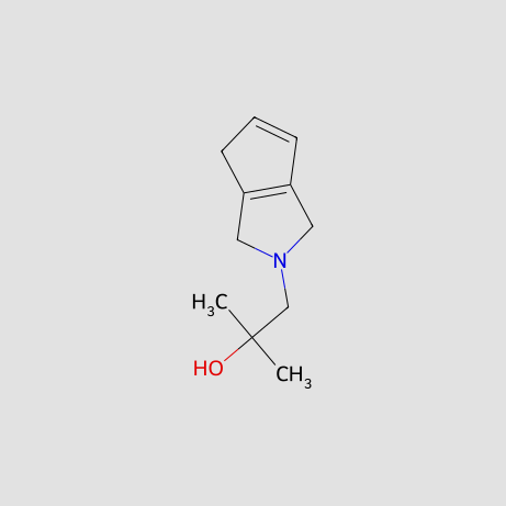 CC(C)(O)CN1CC2=C(CC=C2)C1